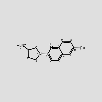 NC1CCN(c2ccc3cc(F)ccc3n2)C1